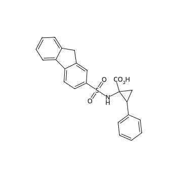 O=C(O)C1(NS(=O)(=O)c2ccc3c(c2)Cc2ccccc2-3)CC1c1ccccc1